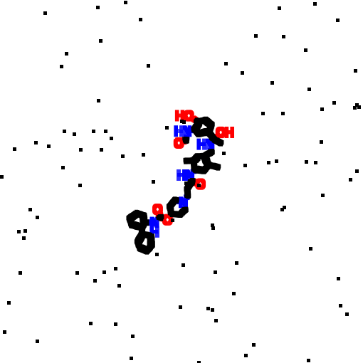 Cc1cc(NC(=O)CCN2CCC(OC(=O)Nc3ccccc3-c3ccccc3)CC2)c(C)cc1CNC(C)(O)c1ccc(O)c(NC=O)c1